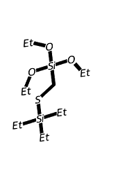 CCO[Si](CS[Si](CC)(CC)CC)(OCC)OCC